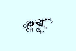 B[C@@H]1O[C@H](/C=C/P(=O)(O)O)[C@@H](OI)[C@H]1I